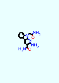 NC(=O)Cn1c2ccccc2c2cc(C(N)=O)c(N)nc21